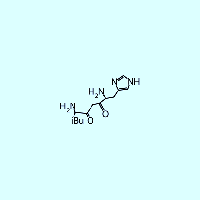 CC[C@H](C)C(N)C(=O)CC(=O)[C@@H](N)Cc1c[nH]cn1